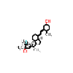 C=C1CC[C@H](O)C/C1=C/C=C1\CCC[C@]2(C)[C@@H]([C@H](C)/C=C/[C@@](C)(O)C(C)(C)F)CC[C@@H]12